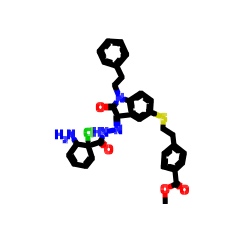 COC(=O)c1ccc(CCSc2ccc3c(c2)C(=NNC(=O)C2(Cl)C=CC=CC2N)C(=O)N3CCc2ccccc2)cc1